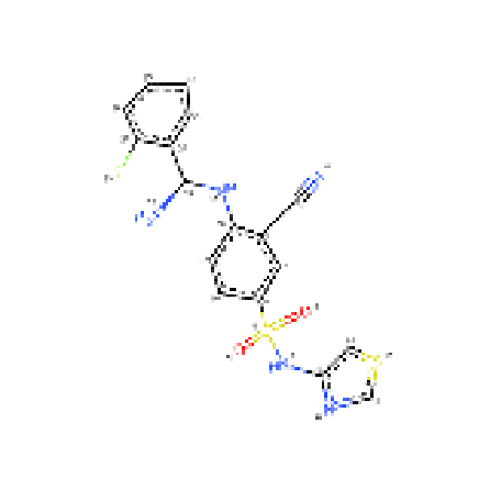 N#Cc1cc(S(=O)(=O)Nc2cscn2)ccc1N[C@@H](N)c1ccccc1F